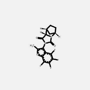 Cc1oc2c(F)c(F)c(F)c(F)c2c1N1C(=O)[C@@H]2[C@@H]3CC[C@@H](C3)N2C1=O